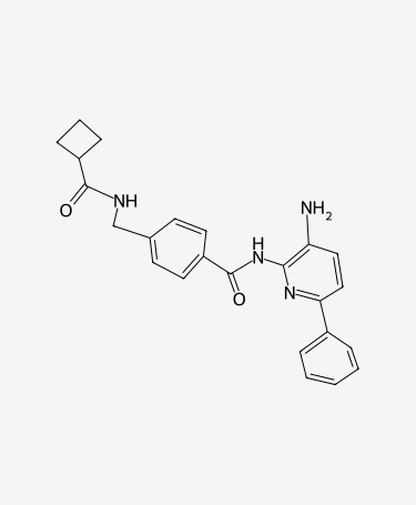 Nc1ccc(-c2ccccc2)nc1NC(=O)c1ccc(CNC(=O)C2CCC2)cc1